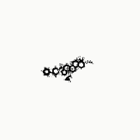 CC(=O)O[C@H]1CC[C@]2(C)C3CC[C@@H]4[C@H]5[C@H](C6(C)CC6)CC[C@]5(C(=O)N5CCC(C#N)(c6ccccc6)CC5)CC[C@@]4(C)[C@]3(C)CC[C@H]2C1(C)C